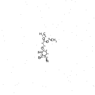 CCOC(CCOc1ccc(C#N)c(Br)c1F)OCC